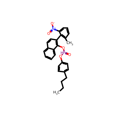 CCCCc1ccc(O[PH](=O)Oc2c(-c3c(C)cccc3[N+](=O)[O-])ccc3ccccc23)cc1